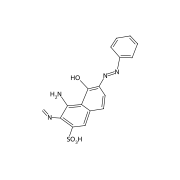 C=Nc1c(S(=O)(=O)O)cc2ccc(N=Nc3ccccc3)c(O)c2c1N